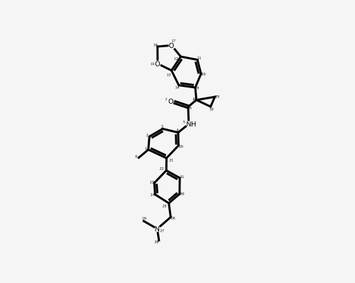 Cc1ccc(NC(=O)C2(c3ccc4c(c3)OCO4)CC2)cc1-c1ccc(CN(C)C)cc1